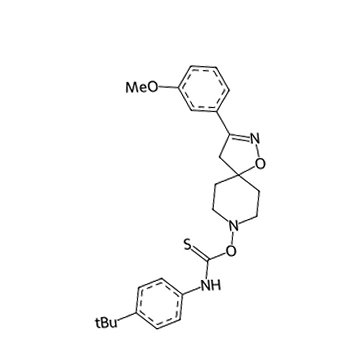 COc1cccc(C2=NOC3(CCN(OC(=S)Nc4ccc(C(C)(C)C)cc4)CC3)C2)c1